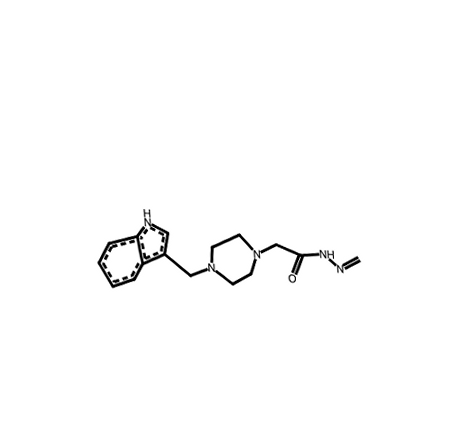 C=NNC(=O)CN1CCN(Cc2c[nH]c3ccccc23)CC1